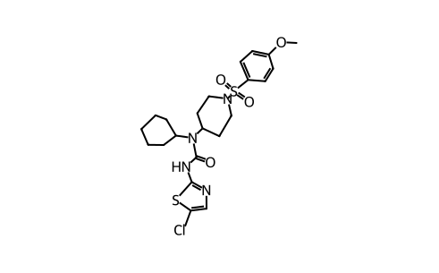 COc1ccc(S(=O)(=O)N2CCC(N(C(=O)Nc3ncc(Cl)s3)C3CCCCC3)CC2)cc1